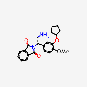 COc1ccc([C@@H](CN)N2C(=O)c3ccccc3C2=O)cc1OC1CCCC1